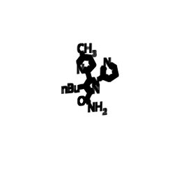 CCCCc1c(C(N)=O)nn(-c2cccnc2)c1-c1ccc(C)cn1